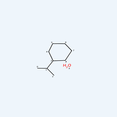 CC(C)C1CCCCC1.O